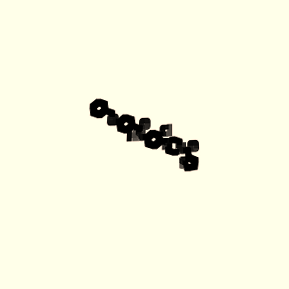 O=C(Nc1ccc(N2CCN(C(=O)c3cccs3)CC2)c(Cl)c1)c1ccc(OCc2ccccc2)cc1